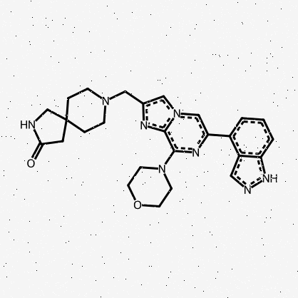 O=C1CC2(CCN(Cc3cn4cc(-c5cccc6[nH]ncc56)nc(N5CCOCC5)c4n3)CC2)CN1